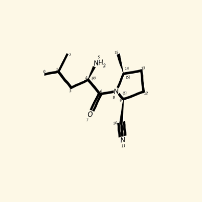 CC(C)C[C@@H](N)C(=O)N1[C@H](C#N)CC[C@@H]1C